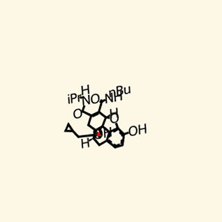 CCCCNC(=O)C1=C(C(=O)NC(C)C)C[C@@]2(O)[C@H]3Cc4ccc(O)c5c4[C@@]2(CCN3CC2CC2)[C@H]1O5